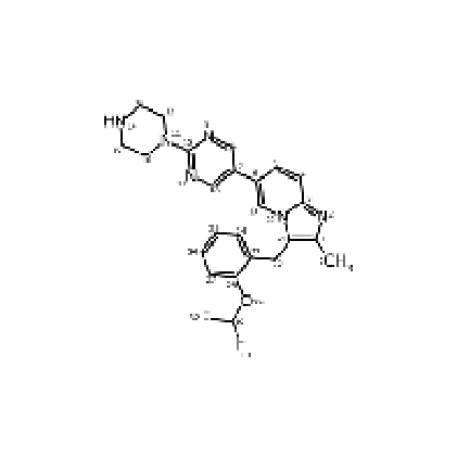 Cc1nc2ccc(-c3cnc(N4CCNCC4)nc3)cn2c1Cc1ccccc1OC(F)F